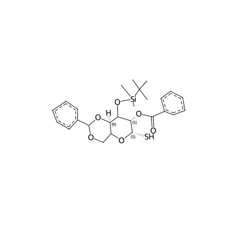 CC(C)(C)[Si](C)(C)OC1[C@@H]2OC(c3ccccc3)OCC2O[C@@H](S)[C@H]1OC(=O)c1ccccc1